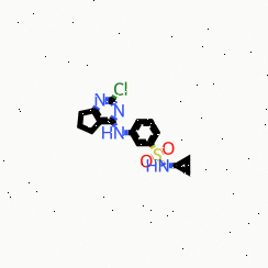 O=S(=O)(NC1CC1)c1cccc(Nc2nc(Cl)nc3c2CCC3)c1